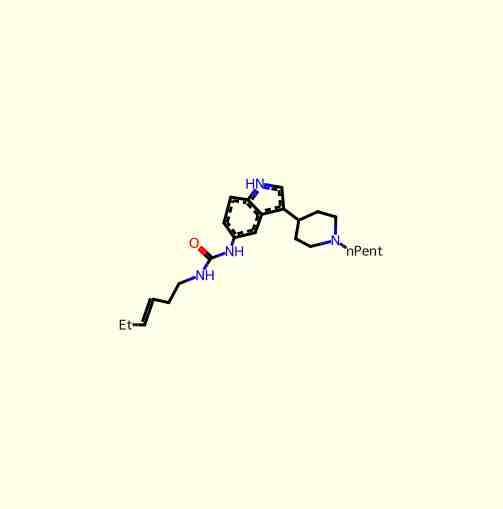 CCC=CCCNC(=O)Nc1ccc2[nH]cc(C3CCN(CCCCC)CC3)c2c1